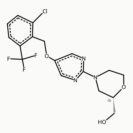 OC[C@@H]1CN(c2ncc(OCc3c(Cl)cccc3C(F)(F)F)cn2)CCO1